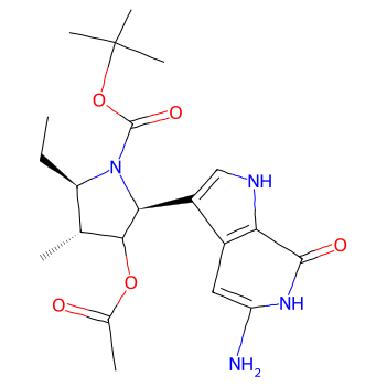 CC[C@@H]1[C@@H](C)C(OC(C)=O)[C@H](c2c[nH]c3c(=O)[nH]c(N)cc23)N1C(=O)OC(C)(C)C